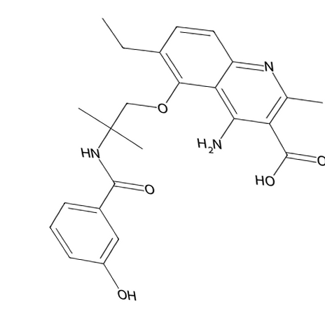 CCc1ccc2nc(C)c(C(=O)O)c(N)c2c1OCC(C)(C)NC(=O)c1cccc(O)c1